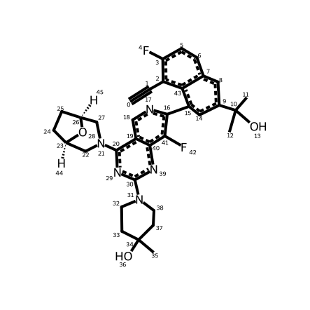 C#Cc1c(F)ccc2cc(C(C)(C)O)cc(-c3ncc4c(N5C[C@H]6CC[C@@H](C5)O6)nc(N5CCC(C)(O)CC5)nc4c3F)c12